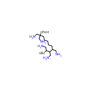 CCCCCC(CN)(CN)CCCCCC(CN)C(CN)C(CN)CCCC